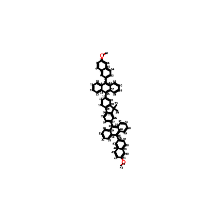 COc1ccc2cc(-c3c4ccccc4c(-c4ccc5c(c4)C(C)(C)c4cc(-c6c7ccccc7c(-c7ccc8cc(OC)ccc8c7)c7ccccc67)ccc4-5)c4ccccc34)ccc2c1